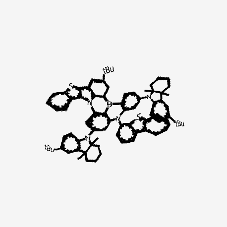 CC(C)(C)C1=Cc2c3n(c4c2sc2ccccc24)-c2cc(N4c5ccc(C(C)(C)C)cc5C5(C)CCCCC45C)cc4c2B(c2ccc(N5c6ccc(C(C)(C)C)cc6C6(C)CCCCC56C)cc2N4c2cccc4c2sc2ccccc24)C3C1